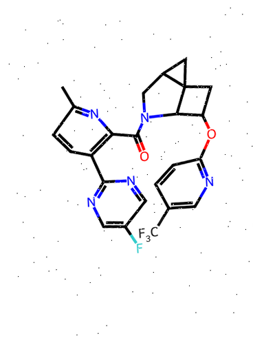 Cc1ccc(-c2ncc(F)cn2)c(C(=O)N2CC3CC34CC(Oc3ccc(C(F)(F)F)cn3)C24)n1